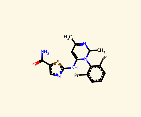 CC1=NC(C)N(c2c(C(C)C)cccc2C(C)C)C(Nc2ncc(C(N)=O)s2)=C1